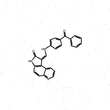 O=C1Nc2ccc3ncccc3c2/C1=C/Nc1ccc(C(=O)c2ccccc2)cc1